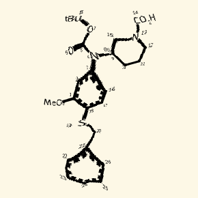 COc1cc(N(C(=O)OC(C)(C)C)[C@@H]2CCCN(C(=O)O)C2)ccc1SCc1ccccc1